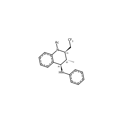 CC(=O)N1c2ccccc2[C@H](Nc2ccccc2)[C@@H](C)[C@@H]1CC(F)(F)F